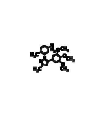 COc1cc(-c2cc(C)nn2-c2cc(N)ccc2C)cc(OC)c1OC